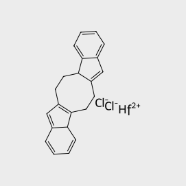 C1=CC2=CC3=C(CCC4=Cc5ccccc5C4CC3)C2C=C1.[Cl-].[Cl-].[Hf+2]